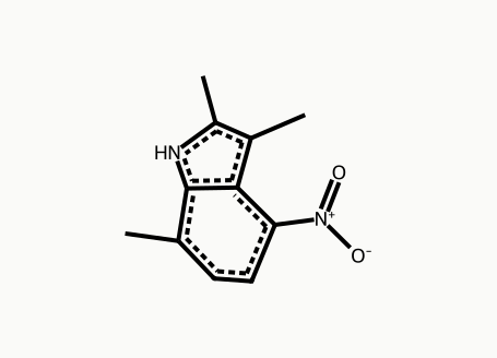 Cc1[nH]c2c(C)ccc([N+](=O)[O-])c2c1C